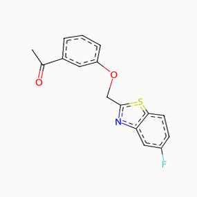 CC(=O)c1cccc(OCc2nc3cc(F)ccc3s2)c1